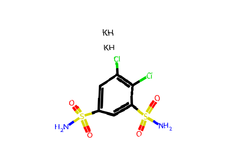 NS(=O)(=O)c1cc(Cl)c(Cl)c(S(N)(=O)=O)c1.[KH].[KH]